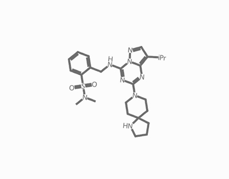 CC(C)c1cnn2c(NCc3ccccc3S(=O)(=O)N(C)C)nc(N3CCC4(CCCN4)CC3)nc12